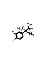 CC(C)(C(=O)O)c1ccc(F)c(F)c1